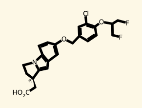 O=C(O)C[C@H]1CCn2c1cc1cc(OCc3ccc(OC(CF)CF)c(Cl)c3)ccc12